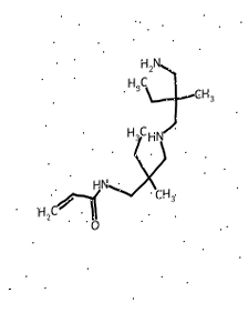 C=CC(=O)NCC(C)(CC)CNCC(C)(CC)CN